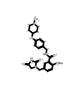 COc1ccc(CN2CC(=O)NC2=O)cc1C(=O)NCc1ccc(OC2CCN(C)CC2)cc1